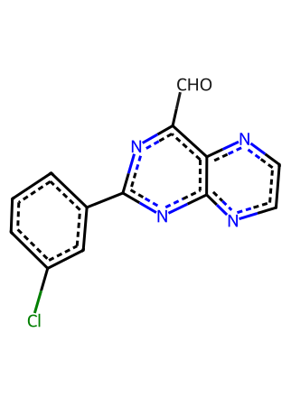 O=Cc1nc(-c2cccc(Cl)c2)nc2nccnc12